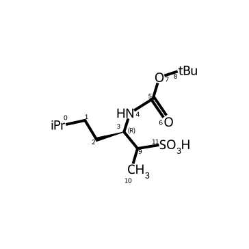 CC(C)CC[C@@H](NC(=O)OC(C)(C)C)C(C)S(=O)(=O)O